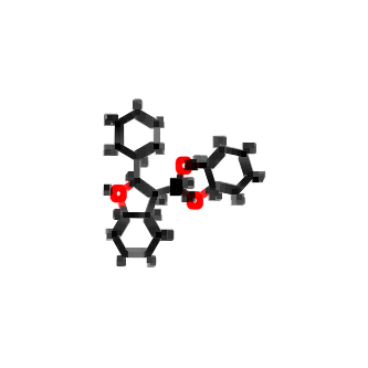 c1ccc(-c2oc3ccccc3c2B2Oc3ccccc3O2)cc1